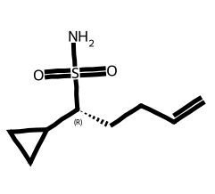 C=CCC[C@H](C1CC1)S(N)(=O)=O